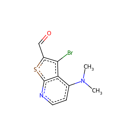 CN(C)c1ccnc2sc(C=O)c(Br)c12